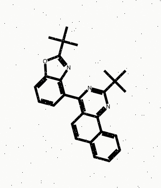 CC(C)(C)c1nc(-c2cccc3oc(C(C)(C)C)nc23)c2ccc3ccccc3c2n1